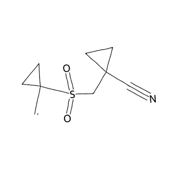 [CH2]C1(S(=O)(=O)CC2(C#N)CC2)CC1